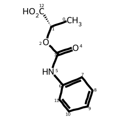 C[C@H](OC(=O)Nc1ccccc1)C(=O)O